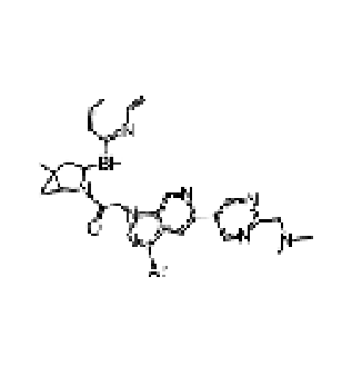 C=C/N=C(BC1CC2(C)CC2N1C(=O)Cn1nc(C(C)=O)c2cc(-c3cnc(CN(C)C)nc3)ncc21)\C=C/C